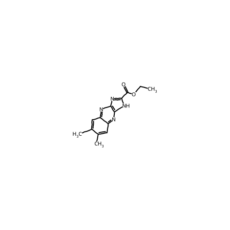 CCOC(=O)c1nc2nc3cc(C)c(C)cc3nc2[nH]1